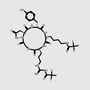 N=C(NCCC[C@@H]1NC(=O)[C@H](CCCCNC(=O)C(F)(F)F)NC(=O)[C@@H](Cc2ccc(O)cc2)NC(=O)[C@H](CC(=O)O)NC(=O)CNC1=O)NC(=O)C(F)(F)F